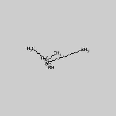 CCCCCCCCCCCCCCCCCCC(CCCCCCCCCC)(C(=O)OO)C(C)CCCC